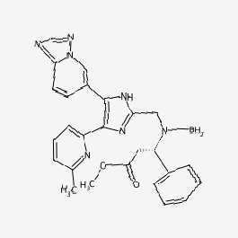 BN(Cc1nc(-c2cccc(C)n2)c(-c2ccc3ncnn3c2)[nH]1)[C@@H](CC(=O)OC)c1ccccc1